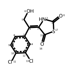 O=C1NC(=C(CO)c2ccc(Cl)c(Cl)c2)C(=O)S1